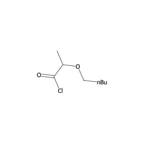 CCCCCOC(C)C(=O)Cl